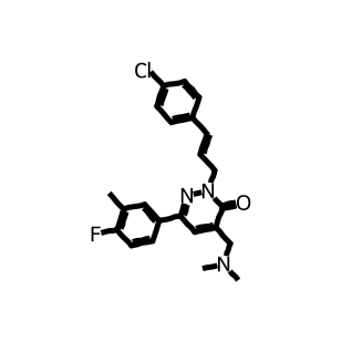 Cc1cc(-c2cc(CN(C)C)c(=O)n(C/C=C/c3ccc(Cl)cc3)n2)ccc1F